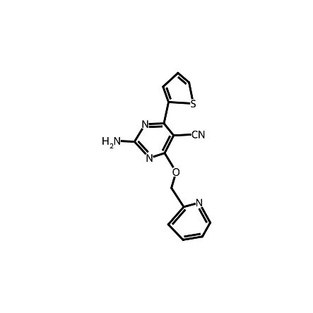 N#Cc1c(OCc2ccccn2)nc(N)nc1-c1cccs1